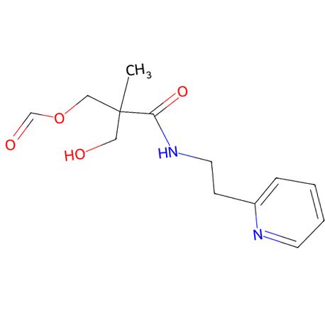 CC(CO)(COC=O)C(=O)NCCc1ccccn1